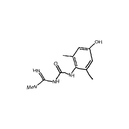 CNC(=N)NC(=O)Nc1c(C)cc(O)cc1C